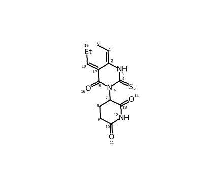 C/C=c1/[nH]c(=S)n(C2CCC(=O)NC2=O)c(=O)/c1=C/CC